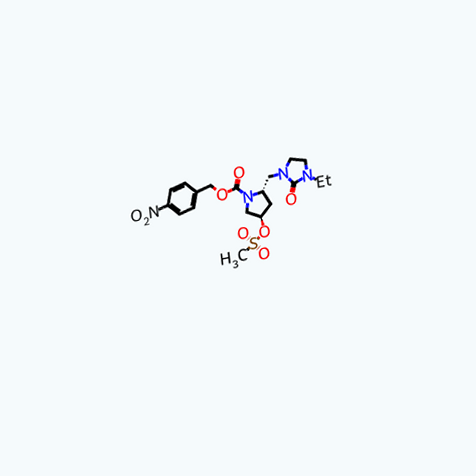 CCN1CCN(C[C@@H]2C[C@@H](OS(C)(=O)=O)CN2C(=O)OCc2ccc([N+](=O)[O-])cc2)C1=O